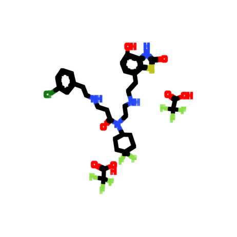 O=C(CCNCCc1cccc(Cl)c1)N(CCNCCc1ccc(O)c2[nH]c(=O)sc12)C1CCC(F)(F)CC1.O=C(O)C(F)(F)F.O=C(O)C(F)(F)F